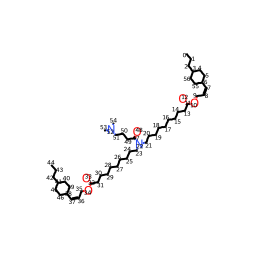 CCCC1CCC(/C=C\COC(=O)CCCCCCCCCN(CCCCCCCCCC(=O)OC/C=C\C2CCC(CCC)CC2)C(=O)CCCN(C)C)CC1